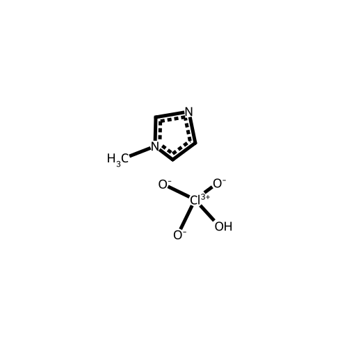 Cn1ccnc1.[O-][Cl+3]([O-])([O-])O